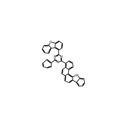 c1ccc(-c2nc(-c3cccc4c3ccc3ccc5c6ccccc6[se]c5c34)nc(-c3cccc4oc5ccccc5c34)n2)cc1